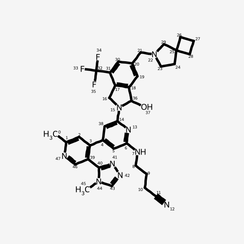 Cc1cc(-c2cc(NCCCC#N)nc(N3Cc4c(cc(CN5CCC6(CCC6)C5)cc4C(F)(F)F)C3O)c2)c(-c2nncn2C)cn1